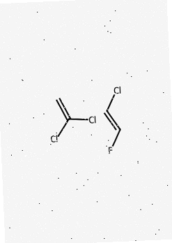 C=C(Cl)Cl.FC=CCl